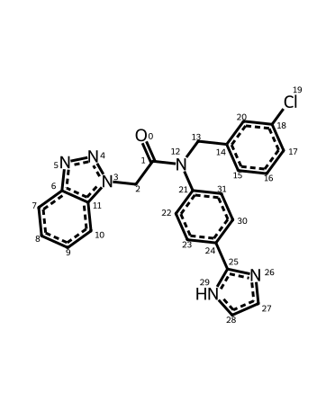 O=C(Cn1nnc2ccccc21)N(Cc1cccc(Cl)c1)c1ccc(-c2ncc[nH]2)cc1